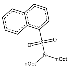 CCCCCCCCN(CCCCCCCC)S(=O)(=O)c1cccc2ccccc12